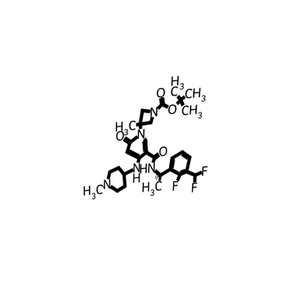 C[C@@H](NC(=O)c1cn(C2(C)CN(C(=O)OC(C)(C)C)C2)c(=O)cc1NC1CCN(C)CC1)c1cccc(C(F)F)c1F